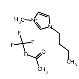 CC(=O)OC(F)(F)F.CCCCn1cc[n+](C)c1